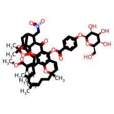 COC(=O)/C(C)=C\CC12OC(C)(C)C3CC(C1=O)C(C[N+](=O)[O-])C1C(=O)c4c(OC(=O)c5ccc(O[C@@H]6O[C@H](CO)[C@@H](O)[C@H](O)[C@H]6O)cc5)c5c(c(CC=C(C)C)c4OC132)OC(C)(CCC=C(C)C)C=C5